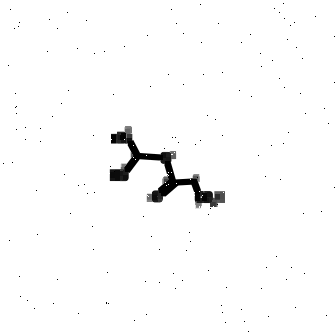 CCCCC(O)OC(=O)CC(=O)O